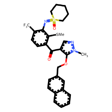 CSc1c(C(=O)c2cnn(C)c2OCc2ccc3ccccc3c2)ccc(C(F)(F)F)c1N=S1(=O)CCCCC1